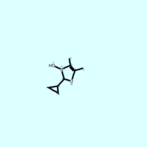 CC1=C(C)N(O)C(C2CC2)O1